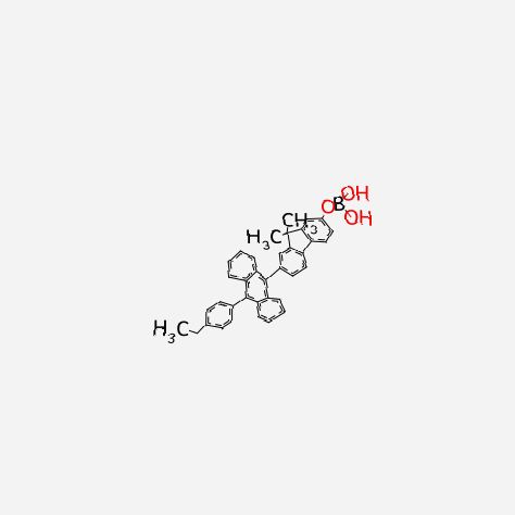 CCc1ccc(-c2c3ccccc3c(-c3ccc4c(c3)C(C)(C)c3cc(OB(O)O)ccc3-4)c3ccccc23)cc1